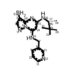 Bc1cnn2c(NCc3cccnc3)cc(N[C@H](C)C(C)(C)C)nc12